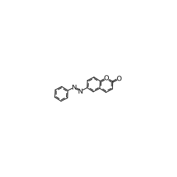 O=c1ccc2cc(/N=N/c3ccccc3)ccc2o1